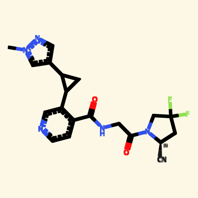 Cn1cc(C2CC2c2cnccc2C(=O)NCC(=O)N2CC(F)(F)C[C@H]2C#N)cn1